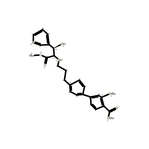 COC(=O)c1ccc(-c2ccc(CCCNC(C(=O)OC(C)(C)C)[C@H](O)c3cccnc3)cc2)cc1OCC(C)C